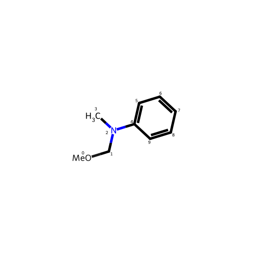 COCN(C)c1ccccc1